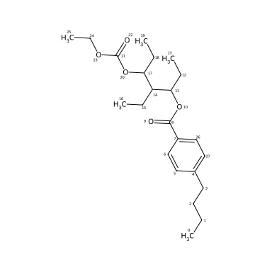 CCCCc1ccc(C(=O)OC(CC)C(CC)C(CC)OC(=O)OCC)cc1